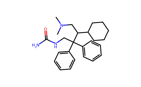 CN(C)CC(C1CCCCC1)C(CNC(N)=O)(c1ccccc1)c1ccccc1